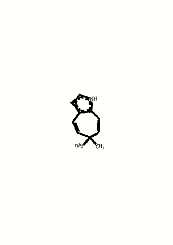 CCCC1(C)C=Cc2cc[nH]c2C=C1